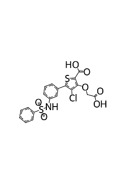 O=C(O)COc1c(C(=O)O)sc(-c2cccc(NS(=O)(=O)c3ccccc3)c2)c1Cl